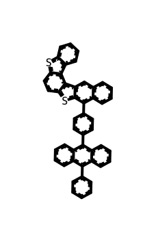 c1ccc(-c2c3ccccc3c(-c3ccc(-c4c5ccccc5cc5c4sc4ccc6sc7ccccc7c6c45)cc3)c3ccccc23)cc1